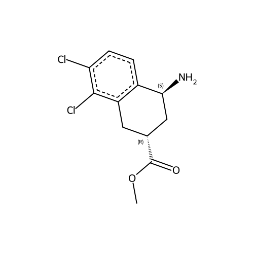 COC(=O)[C@@H]1Cc2c(ccc(Cl)c2Cl)[C@@H](N)C1